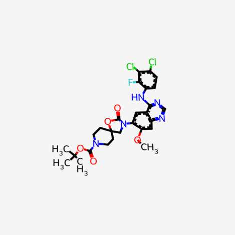 COc1cc2ncnc(Nc3ccc(Cl)c(Cl)c3F)c2cc1N1CC2(CCN(C(=O)OC(C)(C)C)CC2)OC1=O